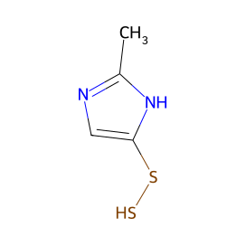 Cc1ncc(SS)[nH]1